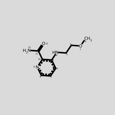 COCCNc1cccnc1C(N)=O